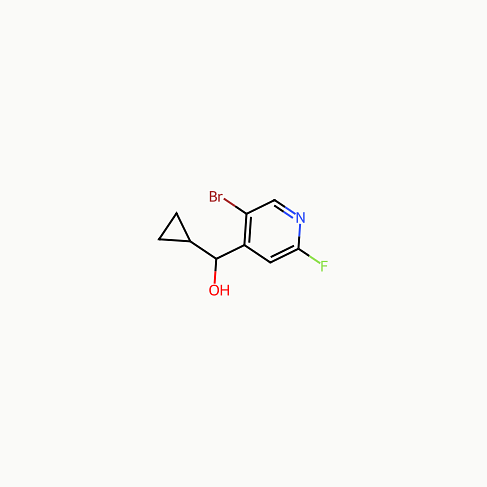 OC(c1cc(F)ncc1Br)C1CC1